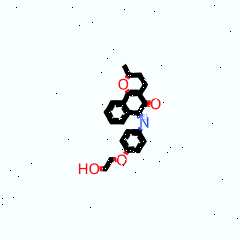 CC1CCC2=C(O1)c1ccccc1/C(=N\c1ccc(OCCO)cc1)C2=O